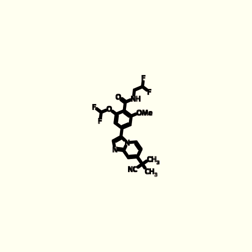 COc1cc(-c2cnc3cc(C(C)(C)C#N)ccn23)cc(OC(F)F)c1C(=O)NCC(F)F